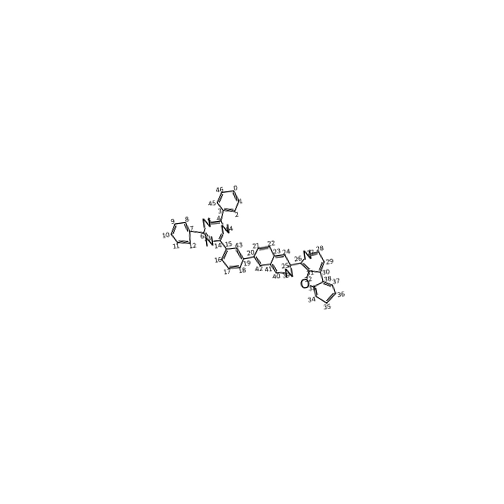 c1ccc(-c2nc(-c3ccccc3)nc(-c3cccc(-c4ccc5cc(-c6nccc7c6oc6ccccc67)ncc5c4)c3)n2)cc1